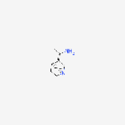 CC(N)=C1CN2CCC1CC2